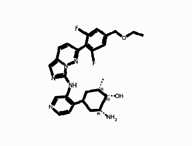 CCOCc1cc(F)c(-c2ccc3cnc(Nc4cnccc4C4C[C@@H](N)[C@@H](O)[C@@H](C)C4)n3n2)c(F)c1